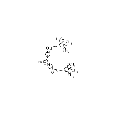 COc1cc(C#C/C=C/C(=O)N2CCN(CCCN3CCN(C(=O)/C=C/C#Cc4cc(OC)c(OC)c(OC)c4)CC3)CC2)cc(OC)c1OC.Cl.Cl